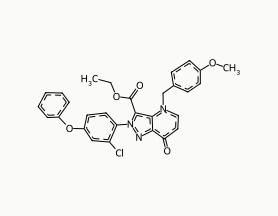 CCOC(=O)c1c2c(nn1-c1ccc(Oc3ccccc3)cc1Cl)c(=O)ccn2Cc1ccc(OC)cc1